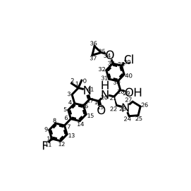 CC1(C)Cc2cc(-c3ccc(F)cc3)ccc2C(C(=O)N[C@H](CN2CCCC2)[C@H](O)c2ccc(OC3CC3)c(Cl)c2)=N1